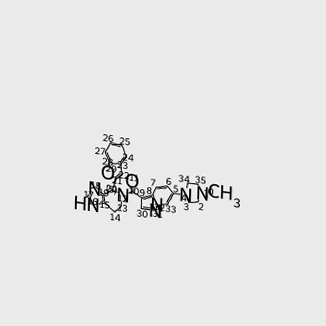 CN1CCN(c2ccc3c(C(=O)N4CCc5[nH]cnc5[C@H]4c4cc5ccccc5o4)cnn3c2)CC1